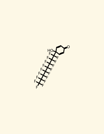 O=C1C=CC(O)(C(F)(F)C(F)(F)C(F)(F)C(F)(F)C(F)(F)C(F)(F)C(F)(F)C(F)(F)F)C=C1